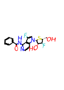 O=C(Nc1nccc2c1c(F)cn2[C@@H]1S[C@H](CO)[C@@H](F)[C@H]1O)c1ccccc1